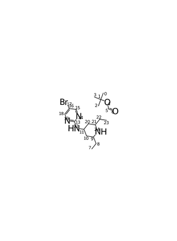 CC(C)(C)OC=O.CCC1CC(Nc2ncc(Br)cn2)CC(CC)N1